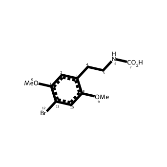 COc1cc(CCNC(=O)O)c(OC)cc1Br